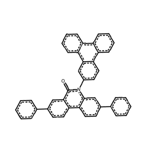 O=c1c2cc(-c3ccccc3)ccc2c2ccc(-c3ccccc3)cc2n1-c1ccc2c3ccccc3c3ccccc3c2c1